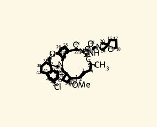 CO[C@H]1/C=C/C[C@H](C)C[S@@](=O)(NC(=O)N2CC3(CCCO3)C2)=NC(=O)c2ccc3c(c2)N(C[C@@H]2CC[C@H]21)C[C@@]1(CCCc2cc(Cl)ccc21)CO3